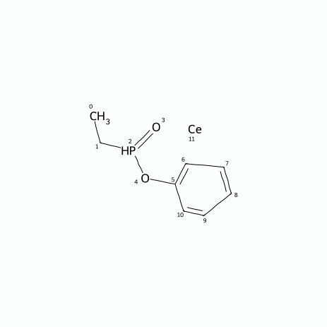 CC[PH](=O)Oc1ccccc1.[Ce]